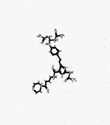 CC(=O)Nc1nc(CCc2ccc(NC(NC(=O)O)NC(=O)O)cc2)c(C(=O)NCCCC(=O)N2CCOCC2)s1